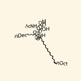 CCCCCCCC/C=C\CCCCCCCCCCCCCC(=O)N[C@@H](CO[C@H]1O[C@H](CNC(C)=O)[C@H](O)[C@H](O)[C@H]1O)[C@H](O)[C@H](O)CCCCCCCCCCCCCC